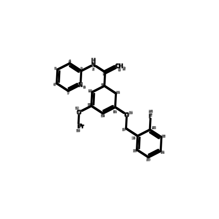 C=C(Nc1ccccn1)C1C=C(OC(C)C)C=C(OCc2ccccc2F)C1